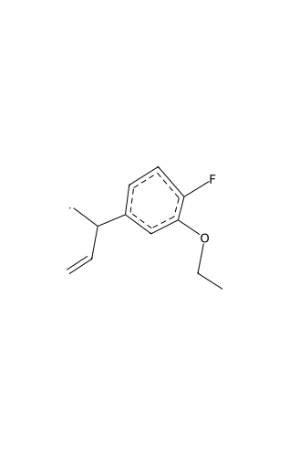 [CH2]C(C=C)c1ccc(F)c(OCC)c1